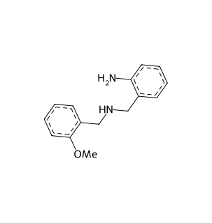 COc1ccccc1CNCc1ccccc1N